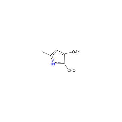 CC(=O)Oc1cc(C)[nH]c1C=O